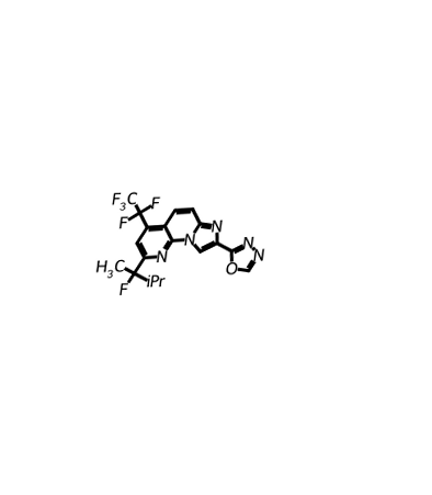 CC(C)C(C)(F)c1cc(C(F)(F)C(F)(F)F)c2ccc3nc(-c4nnco4)cn3c2n1